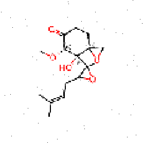 CO[C@@H]1C(=O)CC[C@]2(CO2)[C@@]1(O)C1(C)OC1CC=C(C)C